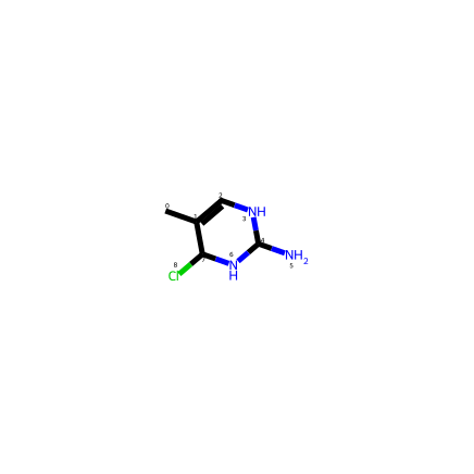 CC1=CNC(N)NC1Cl